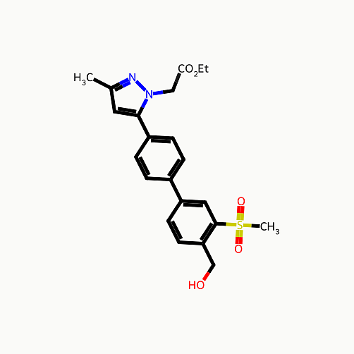 CCOC(=O)Cn1nc(C)cc1-c1ccc(-c2ccc(CO)c(S(C)(=O)=O)c2)cc1